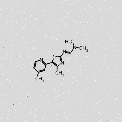 Cc1ccnc(-c2sc(/N=C/N(C)C)nc2C)c1